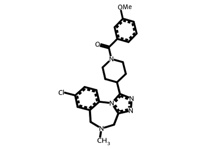 COc1cccc(C(=O)N2CCC(c3nnc4n3-c3ccc(Cl)cc3CN(C)C4)CC2)c1